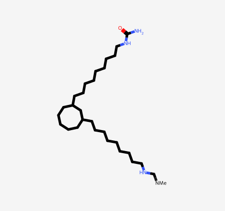 CNCNCCCCCCCCCC1CCCCCC(CCCCCCCCCNC(N)=O)C1